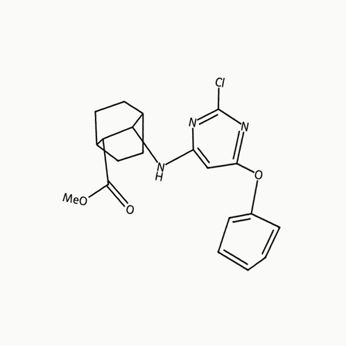 COC(=O)C1C2CCC(CC2)C1Nc1cc(Oc2ccccc2)nc(Cl)n1